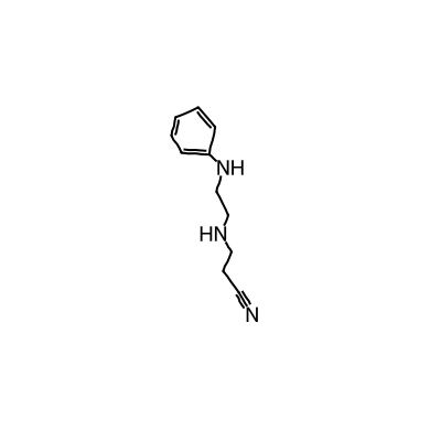 N#CCCNCCNc1ccccc1